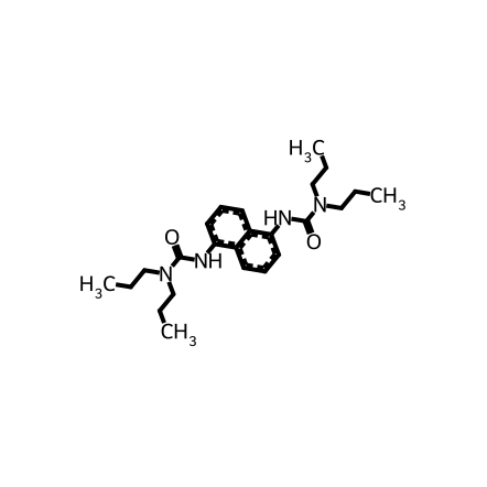 CCCN(CCC)C(=O)Nc1cccc2c(NC(=O)N(CCC)CCC)cccc12